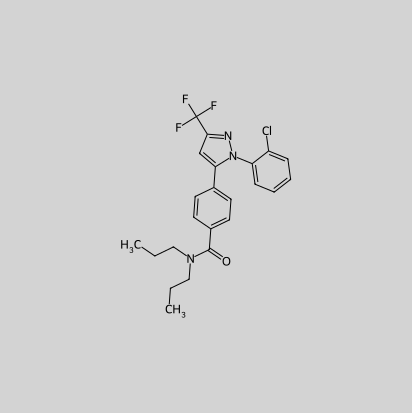 CCCN(CCC)C(=O)c1ccc(-c2cc(C(F)(F)F)nn2-c2ccccc2Cl)cc1